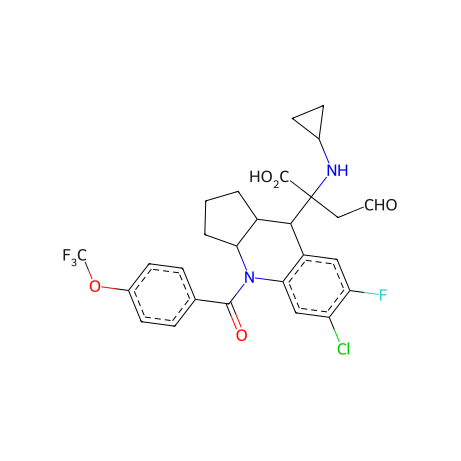 O=CCC(NC1CC1)(C(=O)O)C1c2cc(F)c(Cl)cc2N(C(=O)c2ccc(OC(F)(F)F)cc2)C2CCCC21